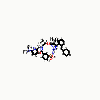 Cc1cccc(CC2CCCCC2)c1-c1nc2nc(c1C)OC[C@@H](CC(C)(C)C)N(Cc1cccc(N(C)C(C)C)n1)C(=O)c1cccc(c1)S(=O)(=O)N2